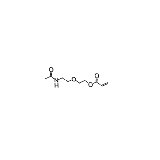 C=CC(=O)OCCOCCNC(C)=O